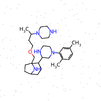 Cc1ccc(C)c(N2CCNC(C3CCC4CCC3(COCCC(C)N3CCNCC3)N4)C2)c1